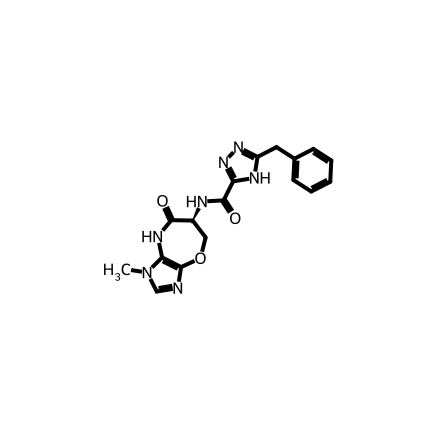 Cn1cnc2c1NC(=O)[C@@H](NC(=O)c1nnc(Cc3ccccc3)[nH]1)CO2